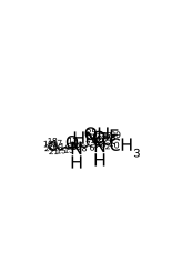 Cc1cc(N[C@H](CCCCNC(=O)CCCc2ccccc2)C(=O)NO)ccc1F